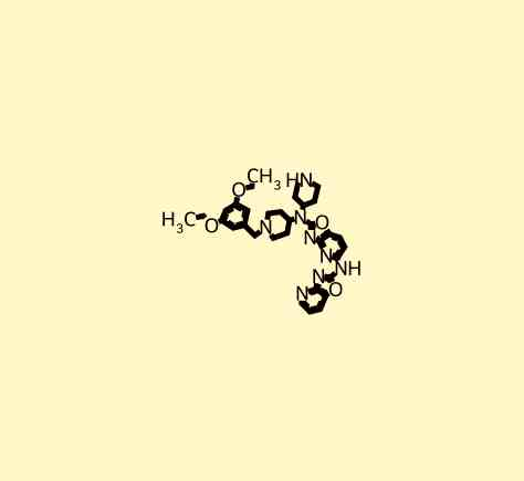 CCOc1cc(CN2CCC(N(c3nc4nc(Nc5nc6ncccc6o5)ccc4o3)C3CCNCC3)CC2)cc(OCC)c1